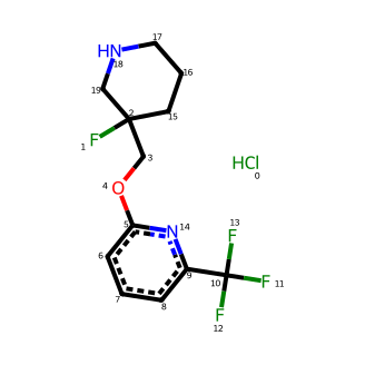 Cl.FC1(COc2cccc(C(F)(F)F)n2)CCCNC1